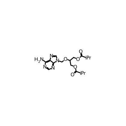 CC(C)C(=O)OCC(COC(=O)C(C)C)OCn1cnc2c(N)ncnc21